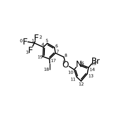 FC(F)(F)c1ccc(COc2cccc(Br)n2)c(I)c1